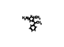 CC(c1ccccc1)N1C[C@@H](N)C[C@@H]1C